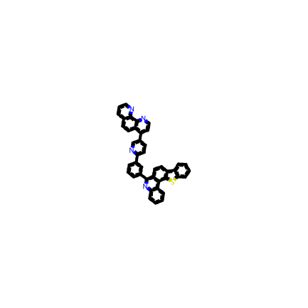 c1cc(-c2ccc(-c3ccnc4c3ccc3cccnc34)cn2)cc(-c2nc3ccccc3c3c2ccc2c4ccccc4sc23)c1